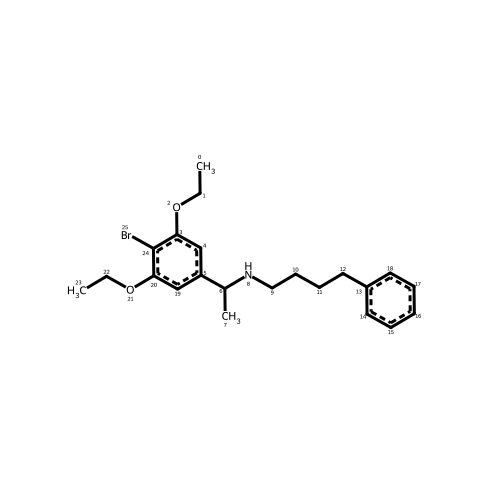 CCOc1cc(C(C)NCCCCc2ccccc2)cc(OCC)c1Br